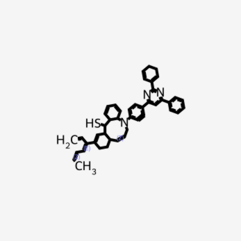 C=C/C(=C\C=C/C)C1=CC2C(/C=C\CN(c3c#cc(-c4cc(-c5ccccc5)nc(C5=CCCC=C5)n4)cc3)C3C=CC=CC3C2S)CC1